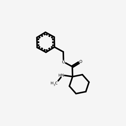 CNC1(C(=O)OCc2ccccc2)CCCCC1